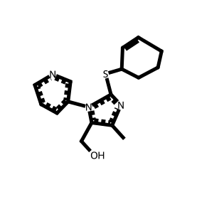 Cc1nc(SC2C=CCCC2)n(-c2cccnc2)c1CO